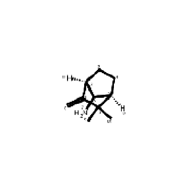 C=C1[C@H]2CC[C@H](C2N)C1(C)C